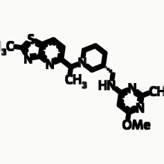 COc1cc(NC[C@H]2CCCN(C(C)c3ccc4sc(C)nc4n3)C2)nc(C)n1